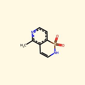 Cc1nccc2c1C=CNS2(=O)=O